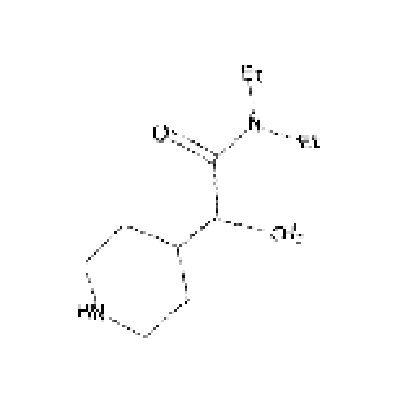 CCN(CC)C(=O)C(C)C1CCNCC1